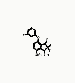 CSc1ccc(Oc2cncc(F)c2)c2c1C(O)C(F)(F)C2F